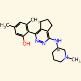 Cc1cc(C)c(-c2nnc(N[C@@H]3CCCN(C)C3)c3c2CCC3)c(O)c1